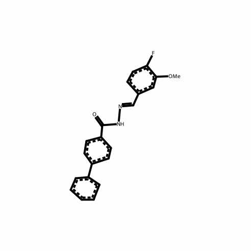 COc1cc(/C=N/NC(=O)c2ccc(-c3ccccc3)cc2)ccc1F